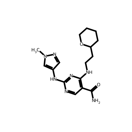 Cn1cc(Nc2ncc(C(N)=O)c(NCCC3CCCCO3)n2)cn1